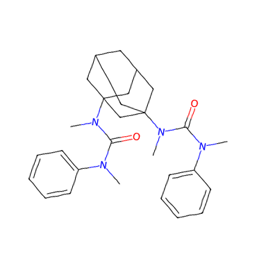 CN(C(=O)N(C)C12CC3CC(C1)CC(N(C)C(=O)N(C)c1ccccc1)(C3)C2)c1ccccc1